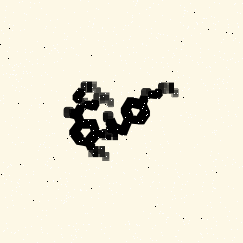 CCOc1ccc(CC(=O)Nc2cc(C(=O)N(CC)CC)ccc2N)cc1